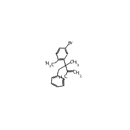 C=C(C)C(C)(Cc1ccccc1)c1cc(Br)ccc1C